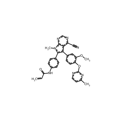 C=CC(=O)Nc1ccc(-c2c(-c3ccc(Oc4nccc(C)n4)c(OC)c3)c3c(C#N)ncnc3n2C)cc1